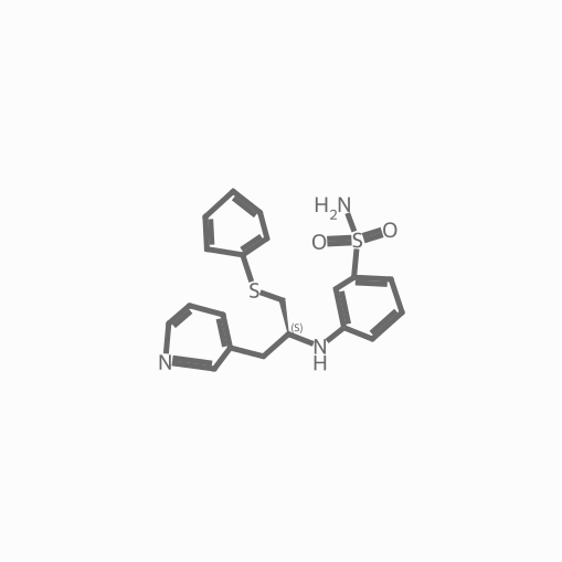 NS(=O)(=O)c1cccc(N[C@H](CSc2ccccc2)Cc2cccnc2)c1